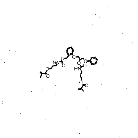 C=C(C)C(=O)OCCCNC(=O)OCc1ccccc1OCC(COc1ccccc1)OC(=O)NCCCOC(=O)C(=C)C